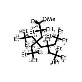 CCCC(CC)(CC)CC(CC)(CC(CC)(CC)CC)CC(CC(CC)(CC)CC)(CC(CC)(CC)CC)CC(C)(CC)C(=O)OC